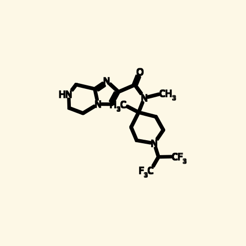 CN(C(=O)c1cn2c(n1)CNCC2)C1(C)CCN(C(C(F)(F)F)C(F)(F)F)CC1